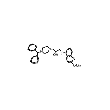 COc1ccc2c(OCC(O)CN3CCN(C(c4ccccc4)c4ccccc4)CC3)cccc2n1